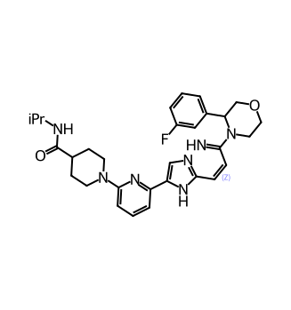 CC(C)NC(=O)C1CCN(c2cccc(-c3cnc(/C=C\C(=N)N4CCOCC4c4cccc(F)c4)[nH]3)n2)CC1